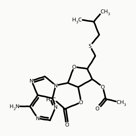 CC(=O)OC1C(CSCC(C)C)OC(n2cnc3c(N)ncnc32)C1OC(C)=O